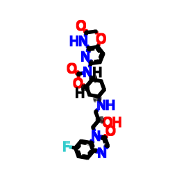 O=C1COc2ccc(N3C(=O)O[C@H]4C[C@@H](NC[C@H](O)Cn5c(=O)cnc6ccc(F)cc65)CC[C@@H]43)nc2N1